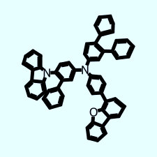 c1ccc(-c2ccc(N(c3ccc(-c4cccc5c4oc4ccccc45)cc3)c3ccc(-n4c5ccccc5c5ccccc54)c(-c4ccccc4)c3)cc2-c2ccccc2)cc1